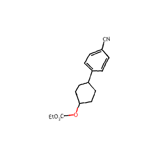 CCOC(=O)OC1CCC(c2ccc(C#N)cc2)CC1